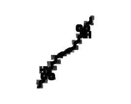 CCCOC(=O)NCCCCC#CC#CCCCCNC(=O)OCCC